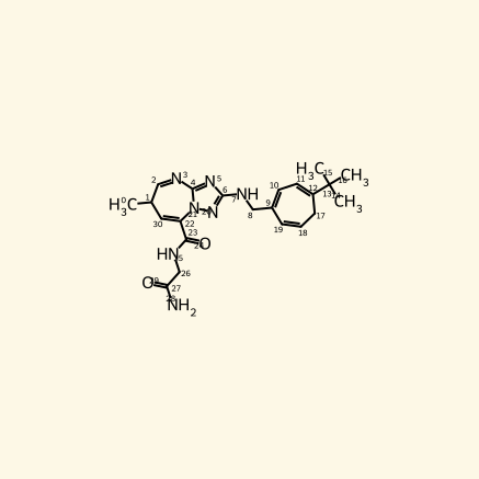 CC1C=Nc2nc(NCC3=CC=C(C(C)(C)C)CC=C3)nn2C(C(=O)NCC(N)=O)=C1